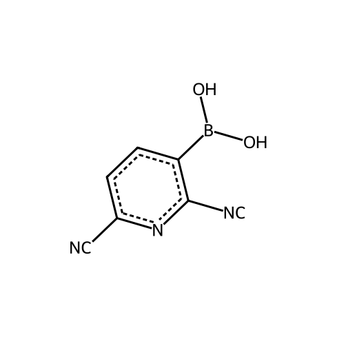 [C-]#[N+]c1nc(C#N)ccc1B(O)O